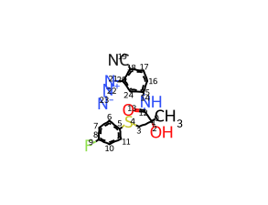 CC(O)(CSc1ccc(F)cc1)C(=O)Nc1ccc(C#N)c(N=[N+]=[N-])c1